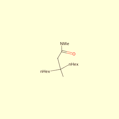 CCCCCCC(C)(CCCCCC)CC(=O)NC